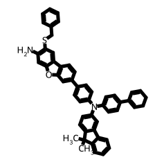 CC1(C)c2ccccc2-c2cc(N(c3ccc(C4=CCCC=C4)cc3)c3ccc(-c4ccc5c(c4)oc4cc(N)c(SCc6ccccc6)cc45)cc3)ccc21